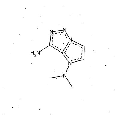 CN(C)n1ccn2nnc(N)c12